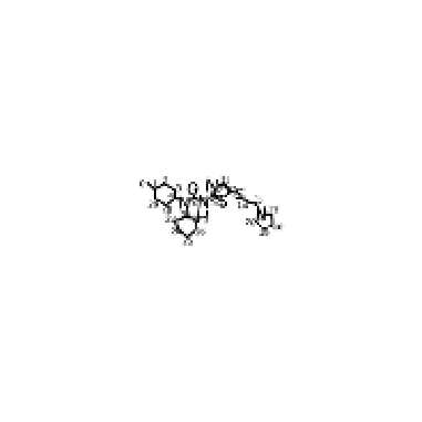 CC1CCC(N(C(=O)Nc2ncc(SCCN3CCCC3)s2)C2CCCCC2)CC1